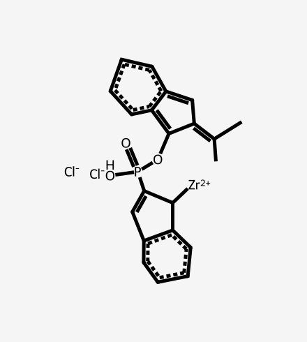 CC(C)=C1C=c2ccccc2=C1OP(=O)(O)C1=Cc2ccccc2[CH]1[Zr+2].[Cl-].[Cl-]